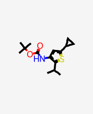 CC(C)c1sc(C2CC2)cc1NC(=O)OC(C)(C)C